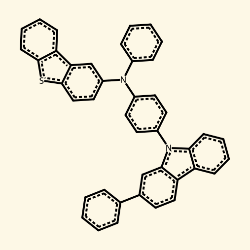 c1ccc(-c2ccc3c4ccccc4n(-c4ccc(N(c5ccccc5)c5ccc6sc7ccccc7c6c5)cc4)c3c2)cc1